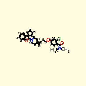 CN(C)C(=O)c1ccc(OCC[C@@H]2CC23CCN(C(=O)C2(c4ccccc4)CCCC2)CC3)cc1Cl